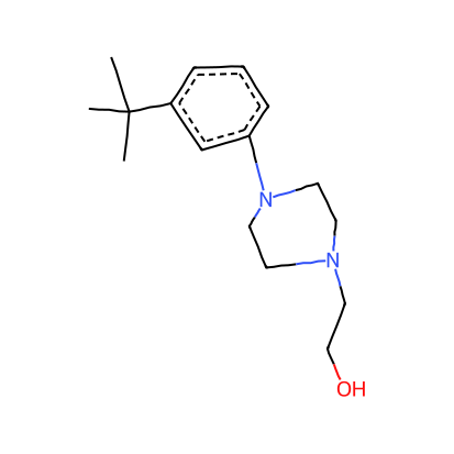 CC(C)(C)c1cccc(N2CCN(CCO)CC2)c1